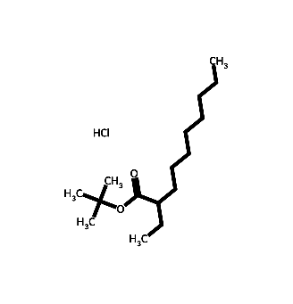 CCCCCCCCC(CC)C(=O)OC(C)(C)C.Cl